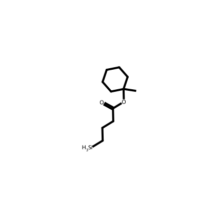 CC1(OC(=O)CCC[SiH3])CCCCC1